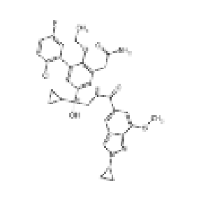 CCOc1c(CC(N)=O)cc([C@@](O)(CNC(=O)c2cc(OC)c3nn(C4CC4)cc3c2)C2CC2)nc1-c1cc(F)ccc1Cl